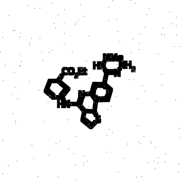 CCOC(=O)C1C=C(NC2=Nc3cc(/C(=N/N)NNC)ccc3C3SC=CC23)C=CC1